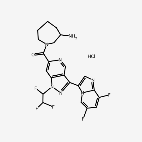 Cl.NC1CCCCN(C(=O)c2cc3c(cn2)c(-c2cnc4c(F)cc(F)cn24)nn3C(F)C(F)F)C1